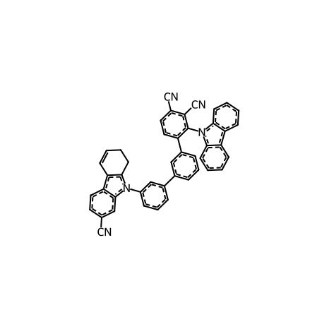 N#Cc1ccc2c3c(n(-c4cccc(-c5cccc(-c6ccc(C#N)c(C#N)c6-n6c7ccccc7c7ccccc76)c5)c4)c2c1)CCC=C3